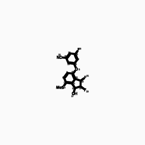 CSc1ccc(Oc2cc(F)cc(C#N)c2)c2c1C(O)C(F)C2F